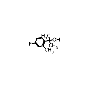 Cc1cc(F)ccc1C(C)(C)O